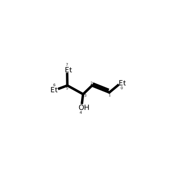 [CH2]C/C=C/C(O)C(CC)CC